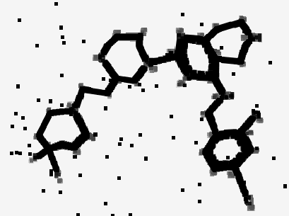 FC1(F)CCN(CCC2CN(c3nc4c(c(NCc5ccc(Cl)cc5Cl)n3)CNCC4)CCO2)CC1